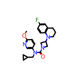 COc1ccc(N(CC2CC2)C(=O)N2CC(N3CCCc4cc(F)ccc43)C2)cn1